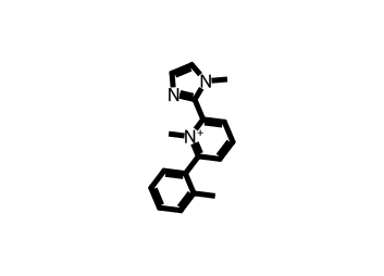 Cc1ccccc1-c1cccc(-c2nccn2C)[n+]1C